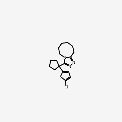 Clc1ccc(C2(c3nnc4n3CCCCCC4)CCCC2)s1